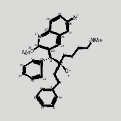 CNCCCC[C@](O)(CCc1ccccc1)[C@H](c1ccccc1)c1cc2cc(Br)ccc2nc1OC